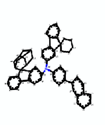 c1ccc2c(c1)-c1ccc(N(c3ccc(-c4ccc5ccccc5c4)cc3)c3ccc4c(c3)C3(c5ccccc5-4)C4CC5CC(C4)CC3C5)cc1C21CCCCC1